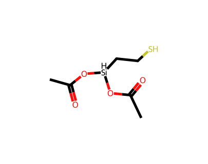 CC(=O)O[SiH](CCS)OC(C)=O